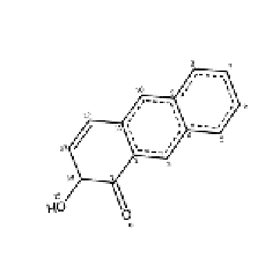 O=C1c2cc3ccccc3cc2C=CC1O